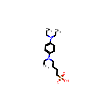 CCN(CC)c1ccc(N(CC)CCCCS(=O)(=O)O)cc1